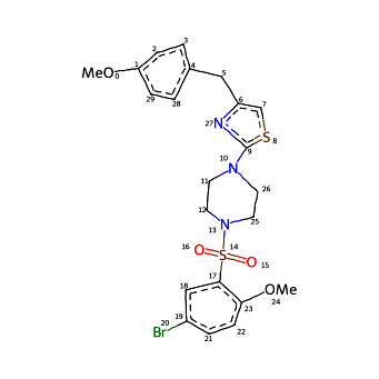 COc1ccc(Cc2csc(N3CCN(S(=O)(=O)c4cc(Br)ccc4OC)CC3)n2)cc1